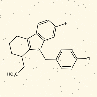 O=C(O)CC1CCCc2c1n(Cc1ccc(Cl)cc1)c1cc(F)ccc21